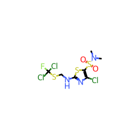 CN(C)S(=O)(=O)c1sc(NCSC(F)(Cl)Cl)nc1Cl